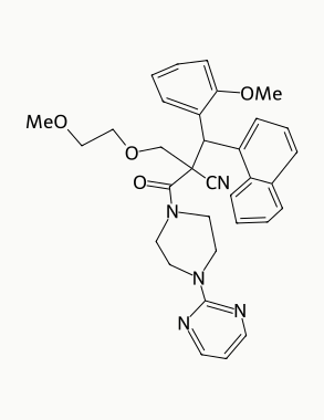 COCCOCC(C#N)(C(=O)N1CCN(c2ncccn2)CC1)C(c1ccccc1OC)c1cccc2ccccc12